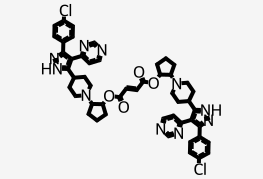 O=C(/C=C/C(=O)OC1CCCC1N1CCC(c2[nH]nc(-c3ccc(Cl)cc3)c2-c2ccncn2)CC1)OC1CCCC1N1CCC(c2[nH]nc(-c3ccc(Cl)cc3)c2-c2ccncn2)CC1